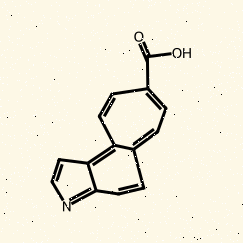 O=C(O)c1ccc2ccc3nccc3c2cc1